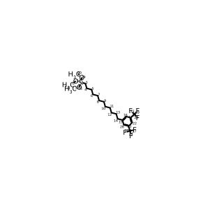 CO[Si](CCCCCCCCCCCCc1cc(C(F)(F)F)cc(C(F)(F)F)c1)(OC)OC